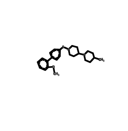 COc1ccccc1-c1ccc(SN2CCC(N3CCC(C)CC3)CC2)cc1